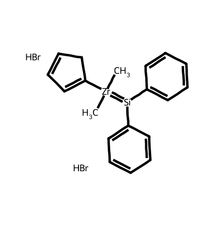 Br.Br.[CH3][Zr]([CH3])([C]1=CC=CC1)=[Si](c1ccccc1)c1ccccc1